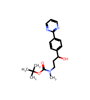 CN(CCC(O)c1ccc(-c2ncccn2)cc1)C(=O)OC(C)(C)C